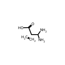 C=C.NC(N)CC(=O)O